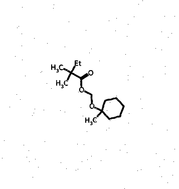 CCC(C)(C)C(=O)OCOC1(C)CCCCC1